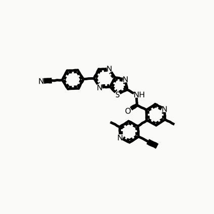 C#Cc1cnc(C)cc1-c1cc(C)ncc1C(=O)Nc1nc2ncc(-c3ccc(C#N)cc3)nc2s1